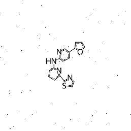 c1cc(Nc2ccc(-c3ccco3)cn2)nc(-c2nccs2)c1